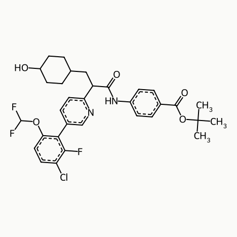 CC(C)(C)OC(=O)c1ccc(NC(=O)C(CC2CCC(O)CC2)c2ccc(-c3c(OC(F)F)ccc(Cl)c3F)cn2)cc1